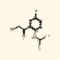 O=C(CBr)c1cc(F)ccc1OC(F)F